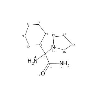 NC(=O)C(N)(C1CCCCC1)N1CCCC1